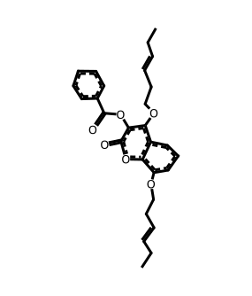 CCC=CCCOc1c(OC(=O)c2ccccc2)c(=O)oc2c(OCCC=CCC)cccc12